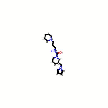 O=C(NCCCN1CCCCC1)N1CCCC(Cn2cccc2)C1